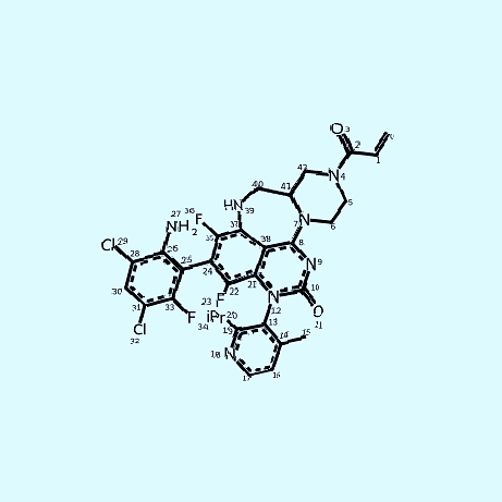 C=CC(=O)N1CCN2c3nc(=O)n(-c4c(C)ccnc4C(C)C)c4c(F)c(-c5c(N)c(Cl)cc(Cl)c5F)c(F)c(c34)NCC2C1